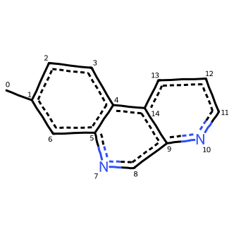 Cc1ccc2c(c1)ncc1ncccc12